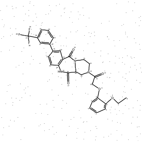 CCOc1ccccc1OCC(=O)N1CCN2C(=O)c3cc(-c4cccc(C(F)(F)F)c4)ccc3NC(=O)C2C1